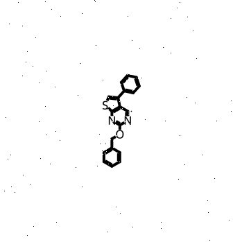 [c]1nc(OCc2ccccc2)nc2scc(-c3ccccc3)c12